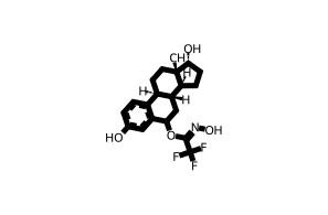 C[C@]12CC[C@@H]3c4ccc(O)cc4C(OC(=NO)C(F)(F)F)C[C@H]3[C@@H]1CC[C@H]2O